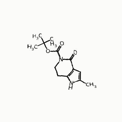 Cc1cc2c([nH]1)CCN(C(=O)OC(C)(C)C)C2=O